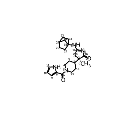 C[C@]1(C2CCN(C(=O)c3ccc[nH]3)CC2)SC(NC23CCC(CC2)C3)=NC1=O